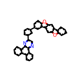 c1cc(-c2ccc3oc4cc5c(cc4c3c2)oc2ccccc25)cc(-c2cnc3c4ccccc4c4ccccc4c3n2)c1